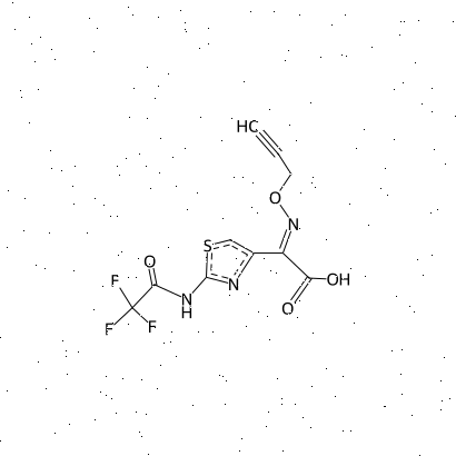 C#CCO/N=C(/C(=O)O)c1csc(NC(=O)C(F)(F)F)n1